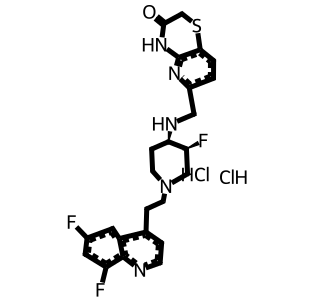 Cl.Cl.O=C1CSc2ccc(CN[C@@H]3CCN(CCc4ccnc5c(F)cc(F)cc45)C[C@@H]3F)nc2N1